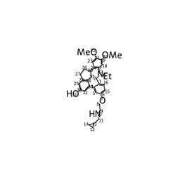 CCN(Cc1ccc(OCCNCC2CC2)cc1)c1cc(OC)c(OC)cc1C1CCc2cc(O)ccc2C1